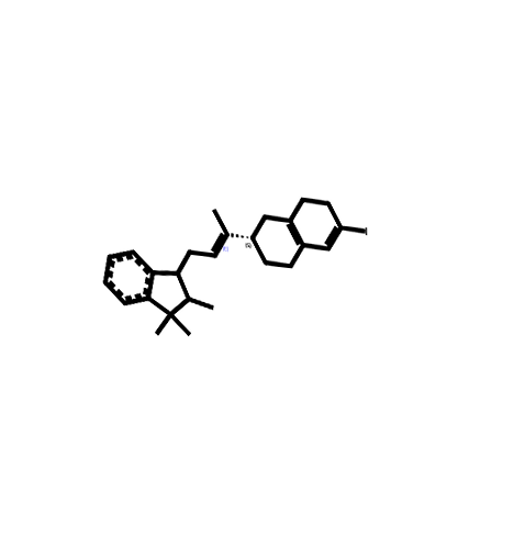 C/C(=C\CC1c2ccccc2C(C)(C)C1C)[C@H]1CCC2=C(CCC(I)=C2)C1